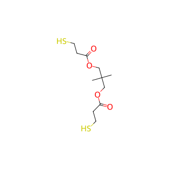 CC(C)(COC(=O)CCS)COC(=O)CCS